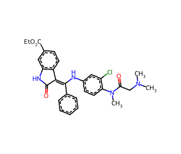 CCOC(=O)c1ccc2c(c1)NC(=O)C2=C(Nc1ccc(N(C)C(=O)CN(C)C)c(Cl)c1)c1ccccc1